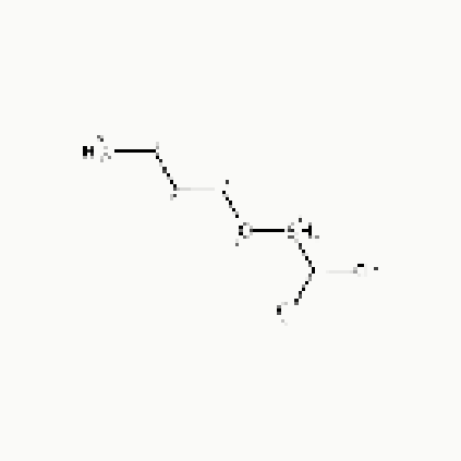 CCCCO[SiH2]C(Cl)Cl